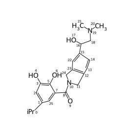 CC(C)c1cc(O)c(O)c(C(=O)N2Cc3ccc(C(O)CN(C)C)cc3C2)c1